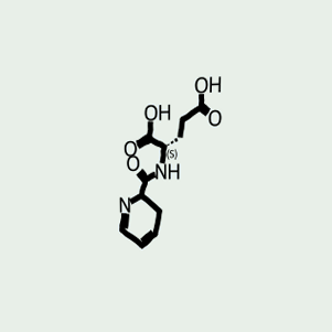 O=C(O)CC[C@H](NC(=O)C1CC=CC=N1)C(=O)O